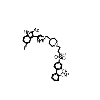 CC(=O)c1[nH]c2ccc(F)cc2c1-c1cn(CC2CCN(CCNS(=O)(=O)c3ccc(-c4ccccc4C#N)c(C(F)(F)F)c3)CC2)nn1